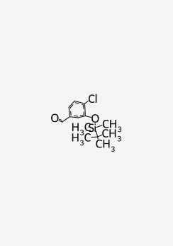 CC(C)(C)[Si](C)(C)Oc1cc(C=O)ccc1Cl